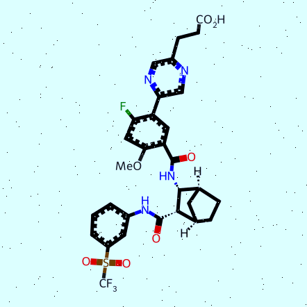 COc1cc(F)c(-c2cnc(CCC(=O)O)cn2)cc1C(=O)N[C@@H]1[C@H]2CC[C@H](C2)[C@@H]1C(=O)Nc1cccc(S(=O)(=O)C(F)(F)F)c1